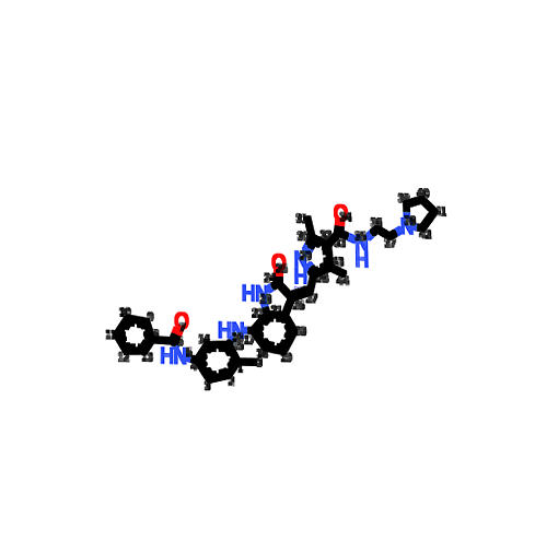 Cc1ccc(NC(=O)c2ccccc2)cc1Nc1cccc2c1NC(=O)/C2=C\c1[nH]c(C)c(C(=O)NCCN2CCCC2)c1C